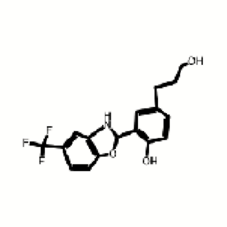 OCCCc1ccc(O)c(C2Nc3cc(C(F)(F)F)ccc3O2)c1